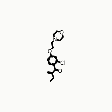 C=C(CC)C(=O)c1ccc(OCCN2CCOCC2)cc1Cl